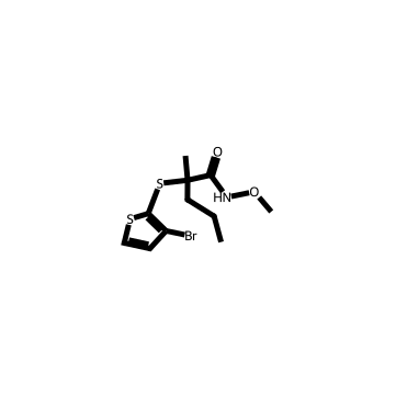 CCCC(C)(Sc1sccc1Br)C(=O)NOC